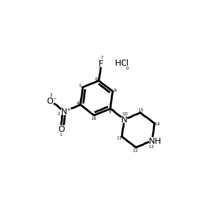 Cl.O=[N+]([O-])c1cc(F)cc(N2CCNCC2)c1